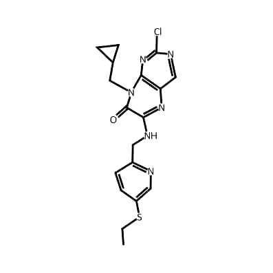 CCSc1ccc(CNc2nc3cnc(Cl)nc3n(CC3CC3)c2=O)nc1